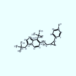 Fc1ccc(C2CC2CNc2ccn3c(CC(F)(F)F)cnc3c2C(F)(F)F)cc1